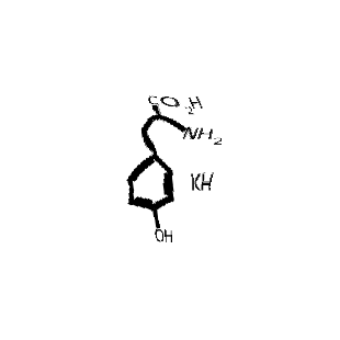 N[C@@H](Cc1ccc(O)cc1)C(=O)O.[KH]